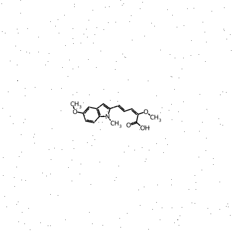 CO/C(=C/C=C/c1cc2cc(OC)ccc2n1C)C(=O)O